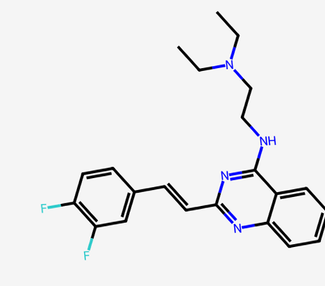 CCN(CC)CCNc1nc(C=Cc2ccc(F)c(F)c2)nc2ccccc12